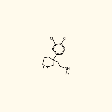 CCNCCC1(c2ccc(Cl)c(Cl)c2)CCCNC1